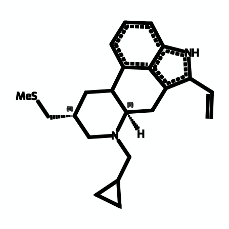 C=Cc1[nH]c2cccc3c2c1C[C@@H]1C3C[C@@H](CSC)CN1CC1CC1